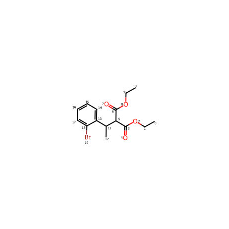 CCOC(=O)C(C(=O)OCC)C(C)c1ccccc1Br